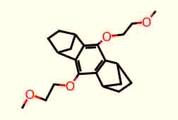 COCCOc1c2c(c(OCCOC)c3c1C1CCC3C1)C1CCC2C1